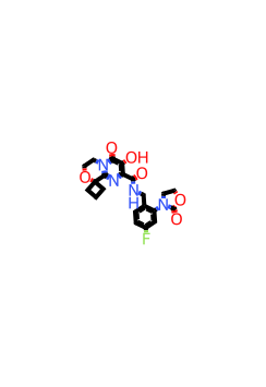 O=C(NCc1ccc(F)cc1N1CCOC1=O)c1nc2n(c(=O)c1O)CCOC21CCC1